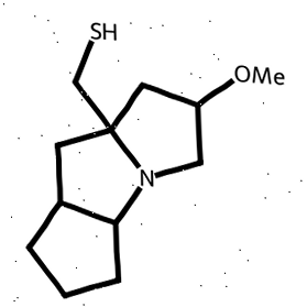 COC1CN2C3CCCC3CC2(CS)C1